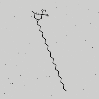 CCCCCCCCCCCCCCCCCCCCCCN(CCC)CC(O)(O)O